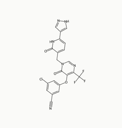 N#Cc1cc(Cl)cc(Oc2c(C(F)(F)F)ncn(Cc3ccc(-c4cn[nH]c4)[nH]c3=O)c2=O)c1